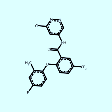 Cc1cc(F)ccc1Oc1ccc(C(F)(F)F)cc1C(=O)Nc1cnnc(Cl)c1